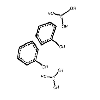 OP(O)O.OP(O)O.Oc1ccccc1.Oc1ccccc1